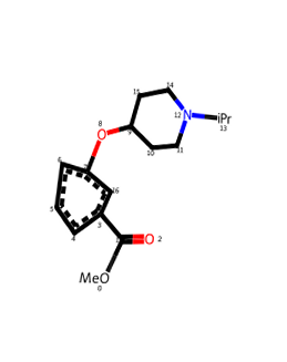 COC(=O)c1cccc(OC2CCN(C(C)C)CC2)c1